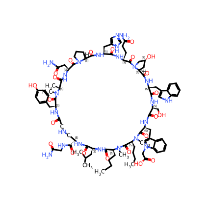 CCCC[C@H]1C(=O)N(C)[C@@H](CCCC)C(=O)N[C@@H](CC(C)C)C(=O)N[C@H](C(=O)NCC(N)=O)CNCC(=O)N[C@@H](Cc2ccc(O)cc2)C(=O)N(C)[C@@H](C)C(=O)N[C@@H](CC(N)=O)C(=O)N2CCC[C@H]2C(=O)N[C@@H](Cc2cnc[nH]2)C(=O)N[C@@H](CCC(N)=O)C(=O)N2C[C@H](O)C[C@H]2C(=O)N[C@@H](Cc2c[nH]c3ccccc23)C(=O)N[C@@H](CO)C(=O)N[C@@H](Cc2cn(CC(=O)O)c3ccccc23)C(=O)N1C